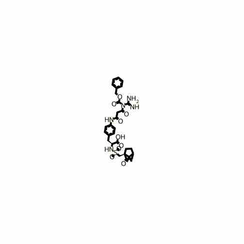 CC1(C)C2CC[C@@]1(CS(=O)(=O)N[C@@H](Cc1ccc(NC(=O)CC(=O)N(C(=N)N)C(=O)OCc3ccccc3)cc1)C(=O)O)C(=O)C2